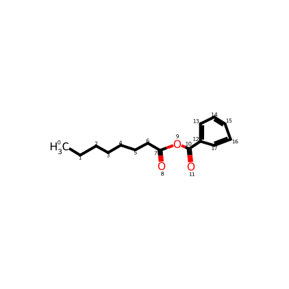 CCCCCCCC(=O)OC(=O)c1ccccc1